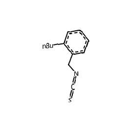 CCCCc1ccccc1CN=C=S